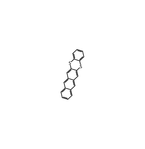 c1ccc2c(c1)Sc1cc3cc4ccccc4cc3cc1S2